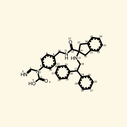 N=CN(C(=O)O)c1ccc(CNC(=O)C2(NCC(c3ccccc3)c3ccccc3)Cc3ccccc3C2)cc1